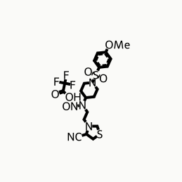 COc1ccc(S(=O)(=O)N2CCC(N(CCN3CSCC3C#N)N=O)CC2)cc1.O=C(O)C(F)(F)F